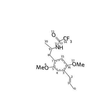 CC=Cc1cc(OC)c(CC(C)NC(=O)C(F)(F)F)cc1OC